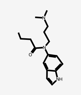 CCCC(=O)N(CCCN(C)C)c1ccc2[nH]ccc2c1